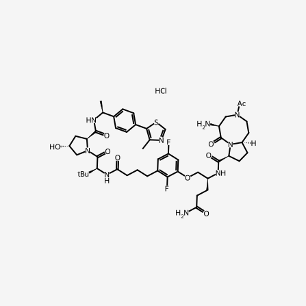 CC(=O)N1CC[C@H]2CC[C@@H](C(=O)N[C@@H](CCC(N)=O)COc3cc(F)cc(CCCC(=O)N[C@H](C(=O)N4C[C@H](O)C[C@H]4C(=O)N[C@@H](C)c4ccc(-c5scnc5C)cc4)C(C)(C)C)c3F)N2C(=O)[C@@H](N)C1.Cl